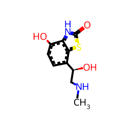 CNC[C@H](O)c1ccc(O)c2[nH]c(=O)sc12